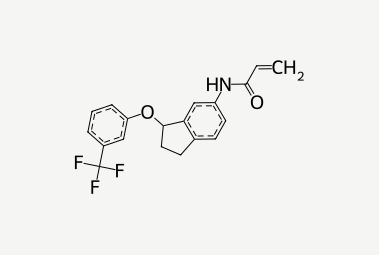 C=CC(=O)Nc1ccc2c(c1)C(Oc1cccc(C(F)(F)F)c1)CC2